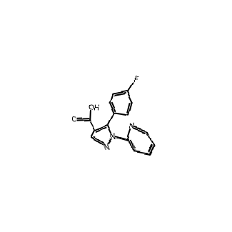 O=C(O)c1cnn(-c2ccccn2)c1-c1ccc(F)cc1